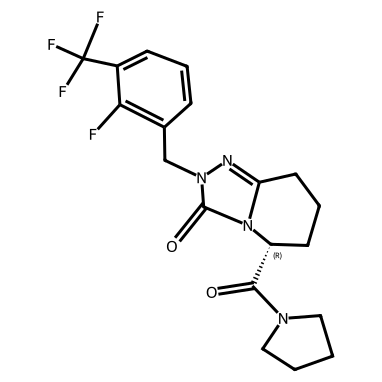 O=C([C@H]1CCCc2nn(Cc3cccc(C(F)(F)F)c3F)c(=O)n21)N1CCCC1